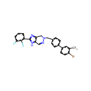 Fc1cccc(-c2nc3c([nH]2)C=NN(Cc2ccc(-c4ccc(Br)c(C(F)(F)F)c4)cc2)C3)c1F